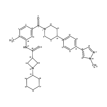 Cc1ccc(C(=O)N2CCC(c3ccc(-c4cnn(C)c4)cc3)CC2)cc1NC(=O)C1CN(C2CCCCC2)C1